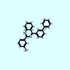 Brc1cccc(-c2nc(-c3cccc(-c4ccccc4)c3)c3ccccc3n2)c1